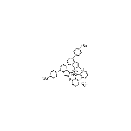 CCC1=Cc2c(-c3ccc(C(C)(C)C)cc3)cccc2[CH]1[Zr+2]([CH]1C(CC)=Cc2c(-c3ccc(C(C)(C)C)cc3)cccc21)[SiH]1c2ccccc2-c2ccccc21.[Cl-].[Cl-]